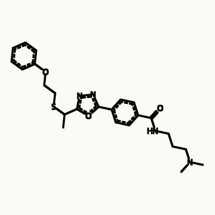 CC(SCCOc1ccccc1)c1nnc(-c2ccc(C(=O)NCCCN(C)C)cc2)o1